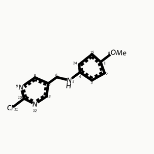 COc1ccc(NCc2cnc(Cl)nc2)cc1